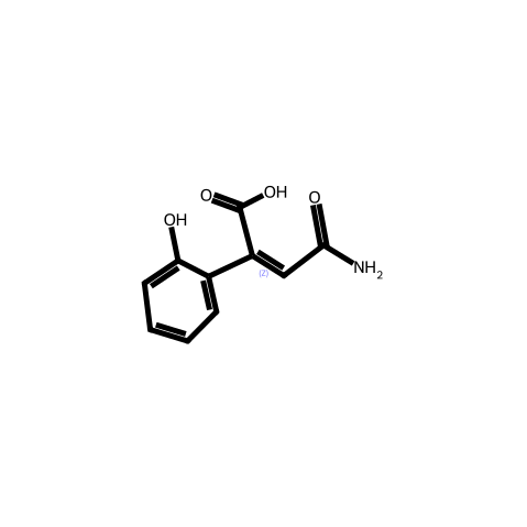 NC(=O)/C=C(\C(=O)O)c1ccccc1O